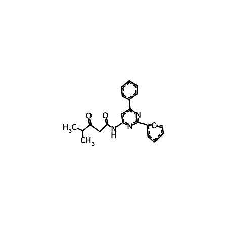 CC(C)C(=O)CC(=O)Nc1cc(-c2ccccc2)nc(-c2ccccc2)n1